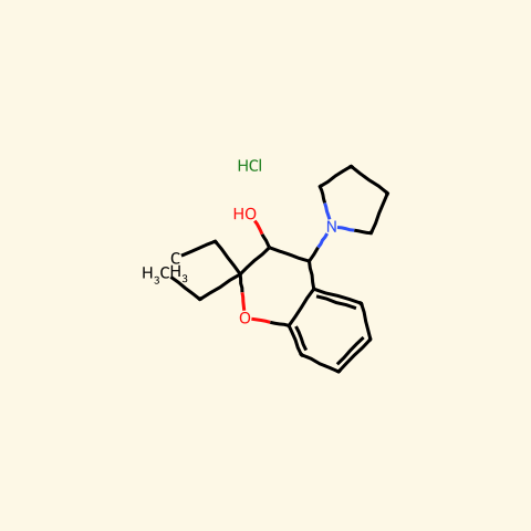 CCC1(CC)Oc2ccccc2C(N2CCCC2)C1O.Cl